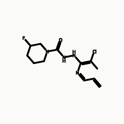 C=C/C=N\C(NNC(=O)N1CCCC(F)C1)=C(/C)Cl